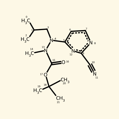 CC(C)CN(c1ccnc(C#N)n1)N(C)C(=O)OC(C)(C)C